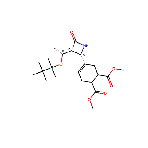 COC(=O)C1CC=C([C@H]2NC(=O)[C@H]2[C@@H](C)O[Si](C)(C)C(C)(C)C)CC1C(=O)OC